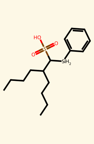 CCCC[C](CCCC)C([SiH2]c1ccccc1)S(=O)(=O)O